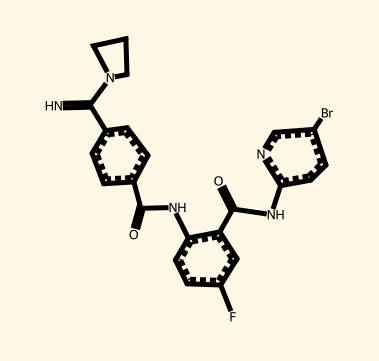 N=C(c1ccc(C(=O)Nc2ccc(F)cc2C(=O)Nc2ccc(Br)cn2)cc1)N1CCC1